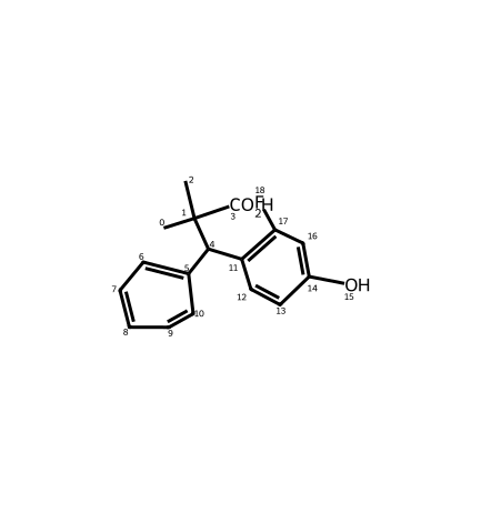 CC(C)(C(=O)O)C(c1ccccc1)c1ccc(O)cc1F